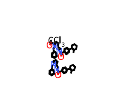 CC1=C(c2ccc(C(=O)N3Cc4ccc(C(=O)C(Cl)(Cl)Cl)n4Cc4ccccc43)cc2)CCCC1.CC1=C(c2ccc(C(=O)N3Cc4cccn4Cc4ccccc43)cc2)CCCC1